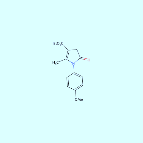 CCOC(=O)C1=C(C)N(c2ccc(OC)cc2)C(=O)C1